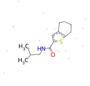 CC(C)CNC(=O)c1cc2c(s1)CCCC2